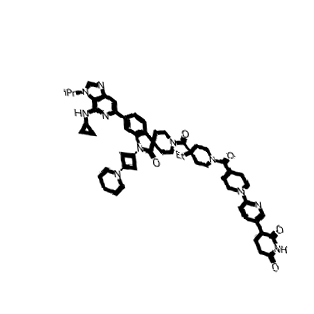 CCC1(C(=O)N2CCC3(CC2)C(=O)N([C@H]2C[C@@H](N4CCCCC4)C2)c2cc(-c4cc5ncn(C(C)C)c5c(NC5CC5)n4)ccc23)CCN(C(=O)C2CCN(c3ccc(C4CCC(=O)NC4=O)cn3)CC2)CC1